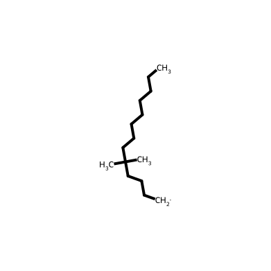 [CH2]CCCC(C)(C)CCCCCCCC